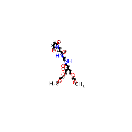 COCCOCCC(CC(=O)NCCNC(=O)CCN1C(=O)C=CC1=O)C(=O)COCCOC